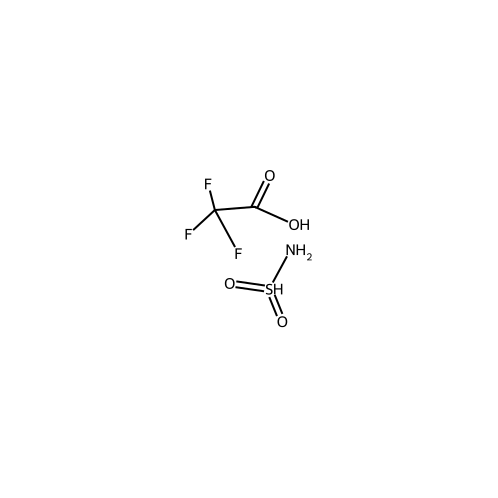 N[SH](=O)=O.O=C(O)C(F)(F)F